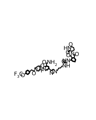 NC(=O)c1cc(-c2cn(CCCCNC(=O)CNc3cccc4c3C(=O)N(C3CCC(=O)NC3=O)C4=O)cn2)cnc1O[C@@H]1CCN(C(=O)Cc2ccc(OC(F)(F)F)cc2)C[C@H]1F